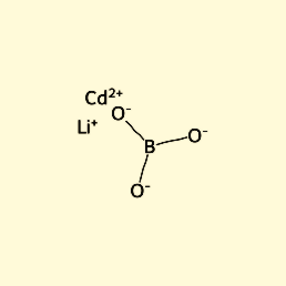 [Cd+2].[Li+].[O-]B([O-])[O-]